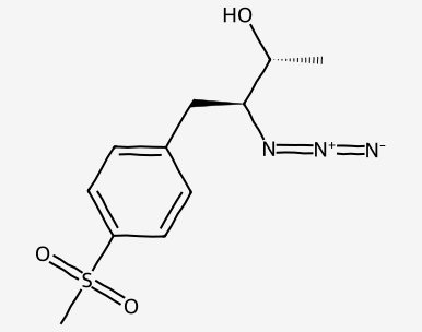 C[C@@H](O)[C@H](Cc1ccc(S(C)(=O)=O)cc1)N=[N+]=[N-]